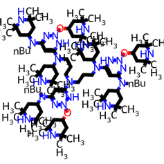 CCCCN(C1=NN(OC2CC(C)(C)NC(C)(C)C2)NC(N(CCCN(C2=CC(N(CCCC)C3CC(C)(C)NC(C)(C)C3)=NN(OC3CC(C)(C)NC(C)(C)C3)N2)C2CC(C)(C)NC(C)(C)C2)CCCN(C2=CC(N(CCCC)C3CC(C)(C)NC(C)(C)C3)=NN(OC3CC(C)(C)NC(C)(C)C3)N2)C2CC(C)(C)NC(C)(C)C2)=C1)C1CC(C)(C)NC(C)(C)C1